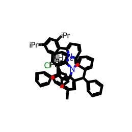 CC(=O)[NH][Pd]([Cl])([c]1ccccc1)=[c]1n(-c2c(C(c3ccccc3)c3ccccc3)cc(C)cc2C(c2ccccc2)c2ccccc2)cc2cccc(-c3c(C(C)C)cc(C(C)C)cc3C(C)C)n12